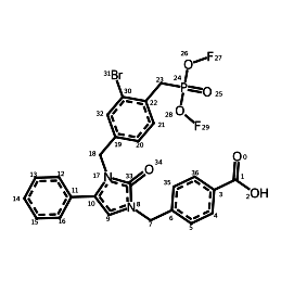 O=C(O)c1ccc(Cn2cc(-c3ccccc3)n(Cc3ccc(CP(=O)(OF)OF)c(Br)c3)c2=O)cc1